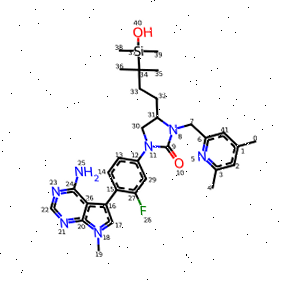 Cc1cc(C)nc(CN2C(=O)N(c3ccc(-c4cn(C)c5ncnc(N)c45)c(F)c3)CC2CCC(C)(C)[Si](C)(C)O)c1